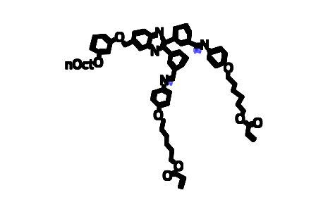 C=CC(=O)OCCCCCCOc1ccc(/N=C/c2cccc(-c3nc4ccc(COc5cccc(OCCCCCCCC)c5)cc4nc3-c3cccc(/C=N/c4ccc(OCCCCCCOC(=O)C=C)cc4)c3)c2)cc1